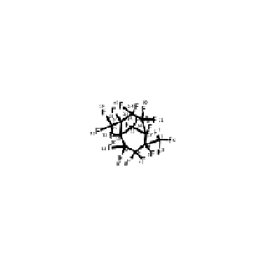 FC(F)(F)C1(F)C(F)(F)C(F)(F)C2(F)C(F)(F)C1(F)C(F)(F)C(F)(F)C2(F)C(F)(F)F